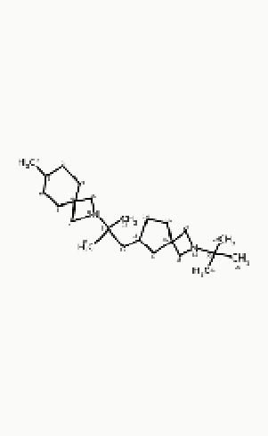 CC1CCC2(CC1)CN(C(C)(C)CC1CCC3(C1)CN(C(C)(C)C)C3)C2